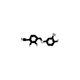 N#Cc1ccc(COc2ccc(F)c(Br)c2)c(F)c1I